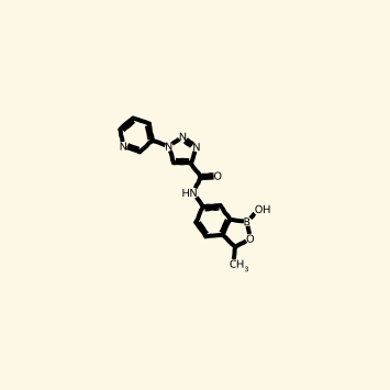 CC1OB(O)c2cc(NC(=O)c3cn(-c4cccnc4)nn3)ccc21